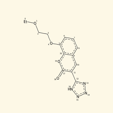 CCOCCOc1cccc2cc(-c3nnn[nH]3)c(=O)oc12